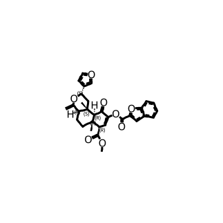 C=C1O[C@H](c2ccoc2)C[C@]2(C)[C@H]3C(=O)C(OC(=O)c4cc5ccccc5o4)=C[C@@H](C(=O)OC)[C@]3(C)CC[C@@H]12